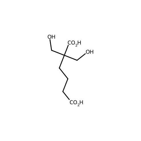 O=C(O)CCCC(CO)(CO)C(=O)O